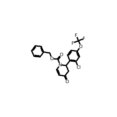 O=C1C=CN(C(=O)OCc2ccccc2)C(c2ccc(OC(F)(F)F)cc2Cl)C1